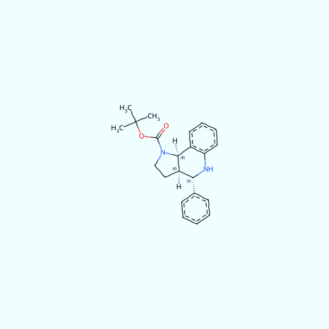 CC(C)(C)OC(=O)N1CC[C@@H]2[C@@H](c3ccccc3)Nc3ccccc3[C@@H]21